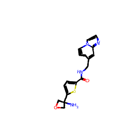 NC1(c2ccc(C(=O)NCc3ccn4ccnc4c3)s2)COC1